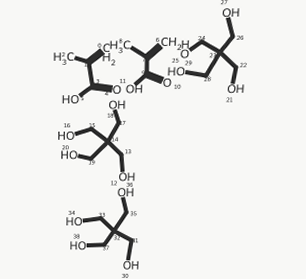 C=C(C)C(=O)O.C=C(C)C(=O)O.OCC(CO)(CO)CO.OCC(CO)(CO)CO.OCC(CO)(CO)CO